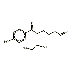 O=CCCCCC(=O)c1ccc(O)cc1.OCCO